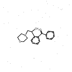 CC(CN1CCOCC1)c1ccccc1C(=O)c1ccccc1